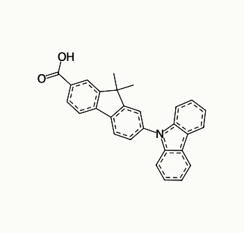 CC1(C)c2cc(C(=O)O)ccc2-c2ccc(-n3c4ccccc4c4ccccc43)cc21